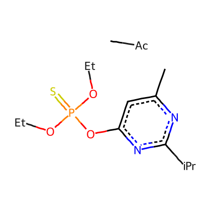 CC(C)=O.CCOP(=S)(OCC)Oc1cc(C)nc(C(C)C)n1